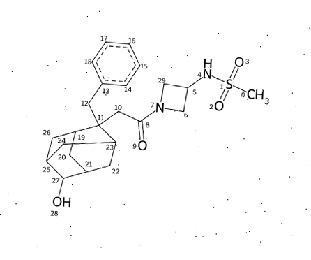 CS(=O)(=O)NC1CN(C(=O)CC2(Cc3ccccc3)C3CC4CC2CC(C3)C4O)C1